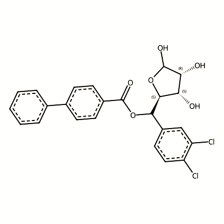 O=C(OC(c1ccc(Cl)c(Cl)c1)[C@H]1OC(O)[C@H](O)[C@@H]1O)c1ccc(-c2ccccc2)cc1